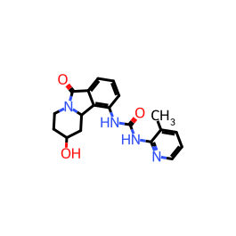 Cc1cccnc1NC(=O)Nc1cccc2c1C1CC(O)CCN1C2=O